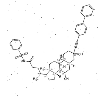 C[C@H](CCC(=O)NS(=O)(=O)c1ccccc1)[C@H]1CC[C@H]2[C@@H]3[C@H](O)C[C@@H]4C[C@@](O)(C#Cc5ccc(-c6ccccc6)cc5)CC[C@]4(C)[C@H]3CC[C@]12C